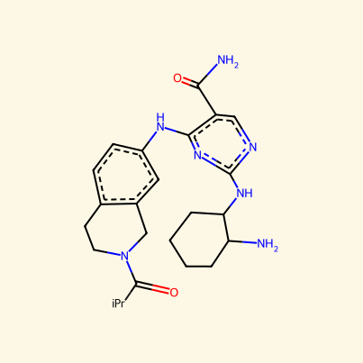 CC(C)C(=O)N1CCc2ccc(Nc3nc(NC4CCCCC4N)ncc3C(N)=O)cc2C1